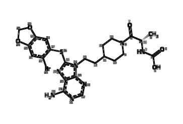 C[C@H](NC(=O)O)C(=O)N1CCC(CCn2c(Sc3cc4c(cc3Br)OCO4)nc3c(N)ncnc32)CC1